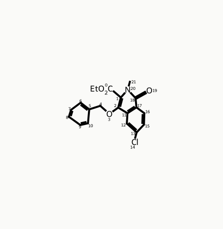 CCOC(=O)c1c(OCc2ccccc2)c2cc(Cl)ccc2c(=O)n1C